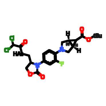 CC(C)(C)OC(=O)C1[C@H]2CN(c3ccc(N4C(=O)OCC4C[AsH]C(=O)C(Cl)Cl)cc3F)C[C@@H]12